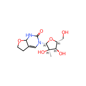 C[C@@]1(O)[C@H](O)[C@@H](CO)O[C@H]1N1C=C2CCOC2NC1=O